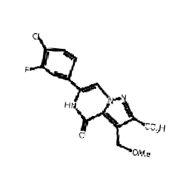 COCc1c(C(=O)O)nn2cc(-c3ccc(Cl)c(F)c3)[nH]c(=O)c12